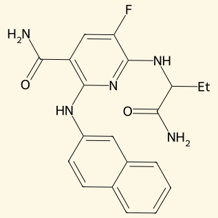 CCC(Nc1nc(Nc2ccc3ccccc3c2)c(C(N)=O)cc1F)C(N)=O